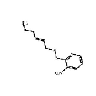 NOCC=CCSSc1ncccc1[N+](=O)[O-]